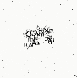 C=C1N2C(=O)C(NC(=O)C(=NNC(N)=O)c3ccccc3)[C@H]2SC1(C)C(=O)OCC(Cl)(Cl)Cl